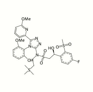 COC1=NC(c2nnc(N(CCS(C)(C)C)S(=O)(=O)C[C@@H](O)c3ccc(F)cc3S(C)(=O)=O)n2-c2c(O)cccc2OC)=C=C=C1